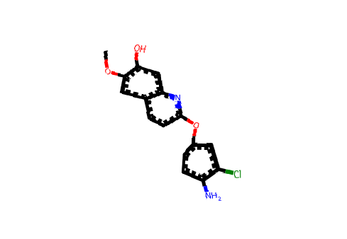 COc1cc2ccc(Oc3ccc(N)c(Cl)c3)nc2cc1O